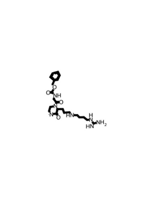 N=C(N)NCCCCNCCCC1C(=O)[N]CCN1C(=O)CNC(=O)OCc1ccccc1